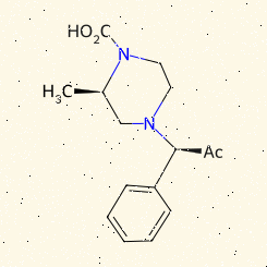 CC(=O)[C@@H](c1ccccc1)N1CCN(C(=O)O)[C@H](C)C1